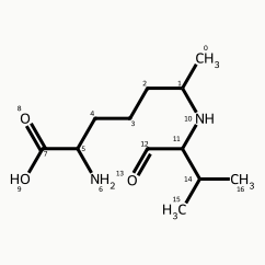 CC(CCCC(N)C(=O)O)NC(C=O)C(C)C